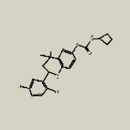 CC1(C)CC(c2cc(Cl)ccc2Cl)Nc2ccc(OC(=O)NC3CCC3)cc21